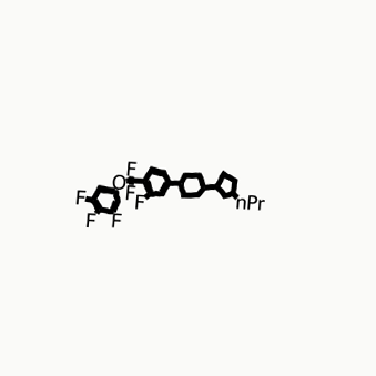 CCCC1CCC(C2CCC(c3ccc(C(F)(F)Oc4cc(F)c(F)c(F)c4)c(F)c3)CC2)C1